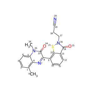 Cc1cccc2c1nc(-c1cccc3c(=O)n(CCC#N)sc13)c(=O)n2C